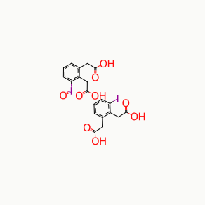 O=C(O)Cc1cccc(I)c1CC(=O)O.O=Ic1cccc(CC(=O)O)c1CC(=O)O